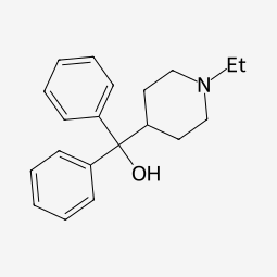 CCN1CCC(C(O)(c2ccccc2)c2ccccc2)CC1